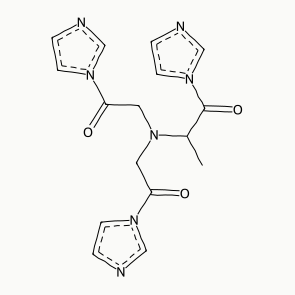 CC(C(=O)n1ccnc1)N(CC(=O)n1ccnc1)CC(=O)n1ccnc1